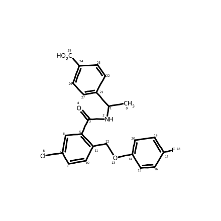 CC(NC(=O)c1cc(Cl)ccc1COc1ccc(F)cc1)c1ccc(C(=O)O)cc1